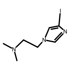 CN(C)CCn1cnc(I)c1